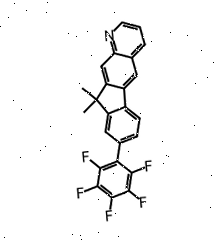 CC1(C)c2cc(-c3c(F)c(F)c(F)c(F)c3F)ccc2-c2cc3cccnc3cc21